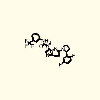 O=C(Nc1cccc(C(F)(F)F)c1)N(I)c1cnc2ccc(N3CCCC3c3cc(F)ccc3F)nn12